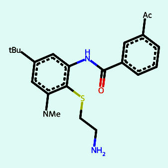 CNc1cc(C(C)(C)C)cc(NC(=O)c2cccc(C(C)=O)c2)c1SCCN